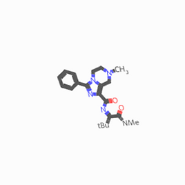 CNC(=O)/C(=N\C(=O)c1nc(-c2ccccc2)n2c1CN(C)CC2)C(C)(C)C